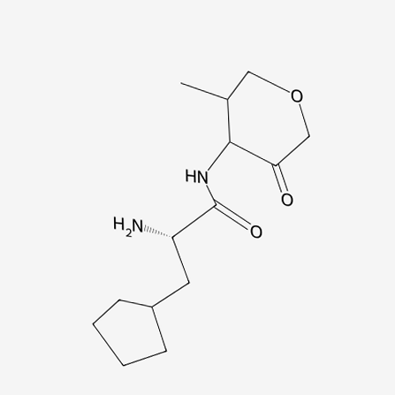 CC1COCC(=O)C1NC(=O)[C@@H](N)CC1CCCC1